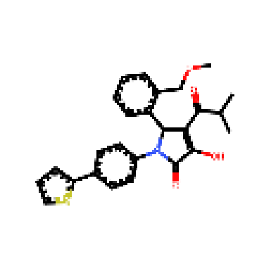 COCc1ccccc1C1C(C(=O)C(C)C)=C(O)C(=O)N1c1ccc(-c2cccs2)cc1